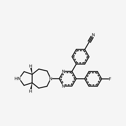 N#Cc1ccc(-c2nc(N3CC[C@@H]4CNC[C@@H]4CC3)ncc2-c2ccc(F)cc2)cc1